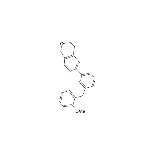 COc1ccccc1Cc1cccc(-c2ncc3c(n2)CCOC3)n1